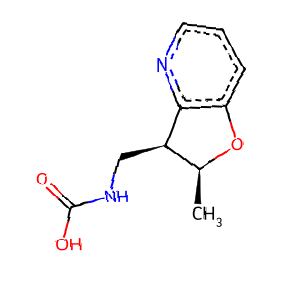 C[C@@H]1Oc2cccnc2[C@@H]1CNC(=O)O